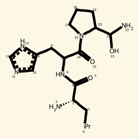 CC(C)C[C@H](N)C(=O)NC(Cc1cnc[nH]1)C(=O)N1CCCC1C(N)O